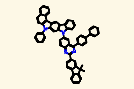 CC1(C)c2ccccc2-c2ccc(-c3nc(-c4ccc(-c5ccccc5)cc4)c4cc(-n5c6ccccc6c6cc7c8c9ccccc9ccc8n(-c8ccccc8)c7cc65)ccc4n3)cc21